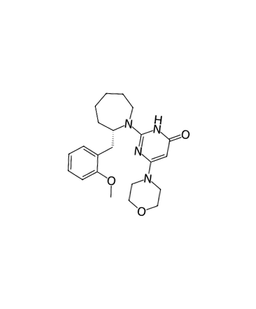 COc1ccccc1C[C@@H]1CCCCCN1c1nc(N2CCOCC2)cc(=O)[nH]1